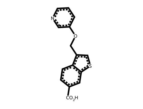 O=C(O)c1ccc2c(COc3cccnc3)csc2c1